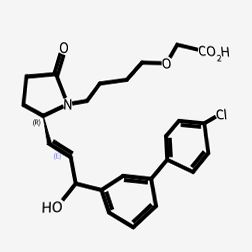 O=C(O)COCCCCN1C(=O)CC[C@@H]1/C=C/C(O)c1cccc(-c2ccc(Cl)cc2)c1